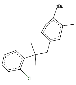 Cc1cc(CC(C)(C)c2ccccc2Cl)ccc1C(C)(C)C